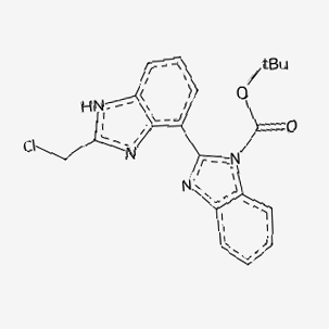 CC(C)(C)OC(=O)n1c(-c2cccc3[nH]c(CCl)nc23)nc2ccccc21